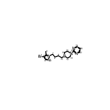 Cc1c(Br)cnn1CCCCN1CCN(c2ncccn2)CC1